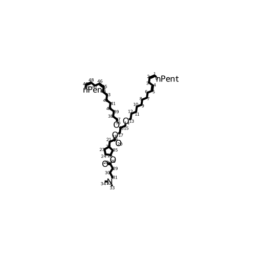 CCCCC/C=C\C/C=C\CCCCCCCCOCC(COC(=O)CC1CCC(OC(=O)CCCN(C)C)C1)OCCCCCCCC/C=C\C/C=C\CCCCC